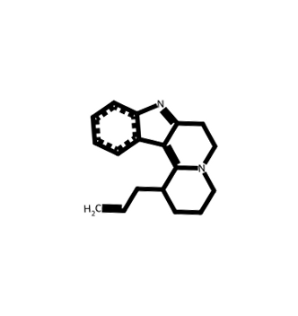 C=CCC1CCCN2CCC3=Nc4ccccc4C3=C12